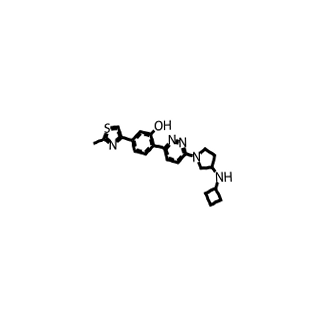 Cc1nc(-c2ccc(-c3ccc(N4CCC(NC5CCC5)C4)nn3)c(O)c2)cs1